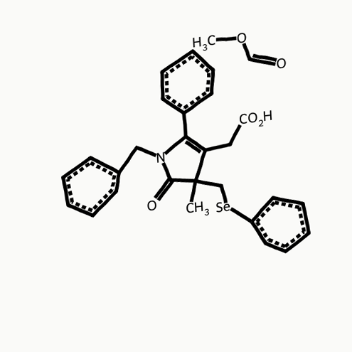 CC1(C[Se]c2ccccc2)C(=O)N(Cc2ccccc2)C(c2ccccc2)=C1CC(=O)O.COC=O